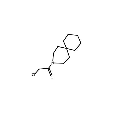 O=C(CCl)N1CCC2(CCCCC2)CC1